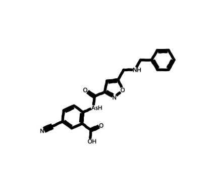 N#Cc1ccc([AsH]C(=O)c2cc(CNCc3ccccc3)on2)c(C(=O)O)c1